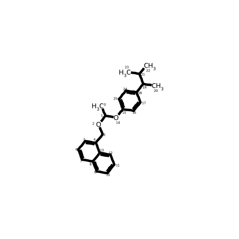 CC(OCc1cccc2ccccc12)Oc1ccc(C(C)C(C)C)cc1